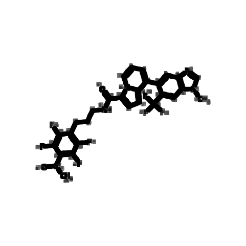 Cn1cnc2cc(-c3cccn4c(C(=O)NCCCc5c(F)c(F)c([S+](C)[O-])c(F)c5F)ccc34)c(C(F)(F)F)cc21